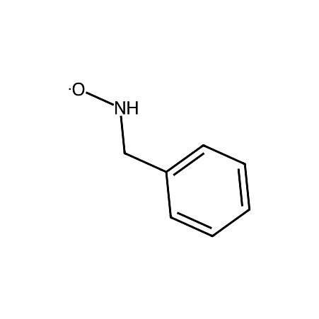 [O]NCc1ccccc1